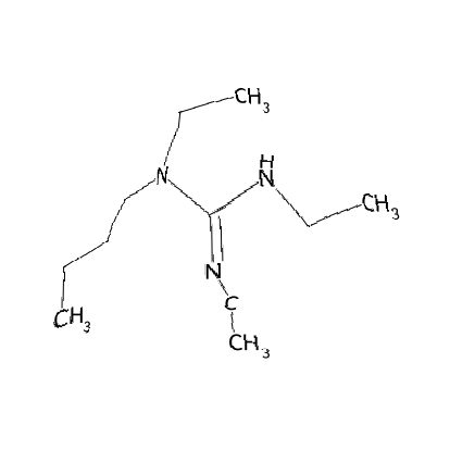 CCCCN(CC)C(=NCC)NCC